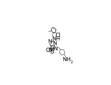 Cc1cccc(Cl)c1CNc1ncc([N+](=O)[O-])c(NCC2CCC(CN)CC2)n1